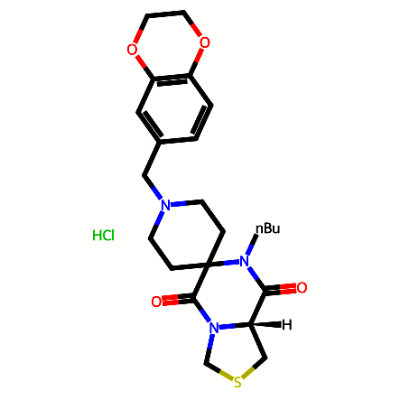 CCCCN1C(=O)[C@@H]2CSCN2C(=O)C12CCN(Cc1ccc3c(c1)OCCO3)CC2.Cl